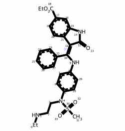 CCNCCN(c1ccc(N/C(=C2\C(=O)Nc3cc(C(=O)OCC)ccc32)c2ccccc2)cc1)S(C)(=O)=O